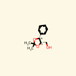 CC1(C)O[C@@H](CO)[C@@H](c2ccccc2)O1